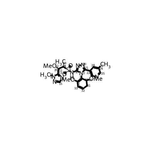 COC1=C(n2c(NS(=O)(=O)[C@@H](C)[C@H](OC)c3ncnn3C)nnc2-c2cncc(C)c2)C(OC)CC=C1